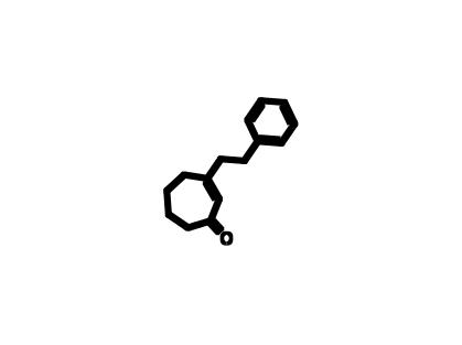 O=C1C=C(CCc2ccccc2)CCCC1